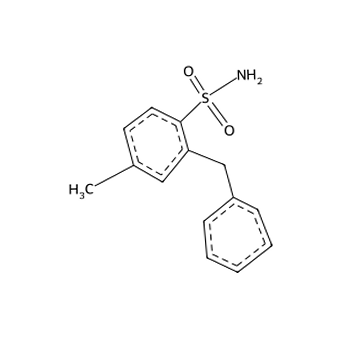 Cc1ccc(S(N)(=O)=O)c(Cc2ccccc2)c1